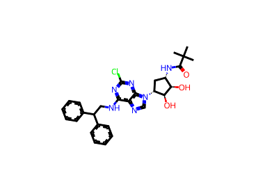 CC(C)(C)C(=O)N[C@H]1C[C@@H](n2cnc3c(NCC(c4ccccc4)c4ccccc4)nc(Cl)nc32)[C@H](O)[C@@H]1O